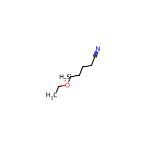 CCO[SiH2]CCCC#N